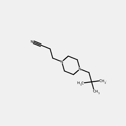 [CH2]C(C)(C)CN1CCN(CCC#N)CC1